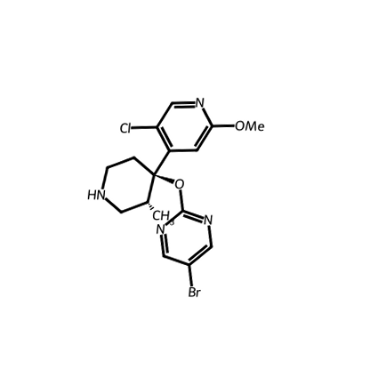 COc1cc([C@@]2(Oc3ncc(Br)cn3)CCNC[C@H]2C)c(Cl)cn1